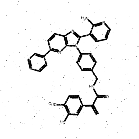 C=C(C(=O)NCc1ccc(-n2c(-c3cccnc3N)nc3ccc(-c4ccccc4)nc32)cc1)c1ccc(C=O)c(O)c1